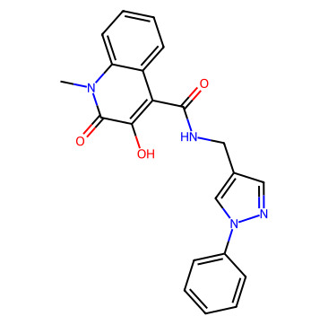 Cn1c(=O)c(O)c(C(=O)NCc2cnn(-c3ccccc3)c2)c2ccccc21